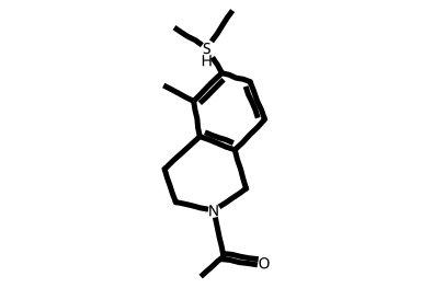 CC(=O)N1CCc2c(ccc([SH](C)C)c2C)C1